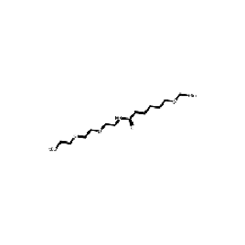 CC(C)(C)CCOCCOCCNC(=O)CCCCCSCC(C)(C)C